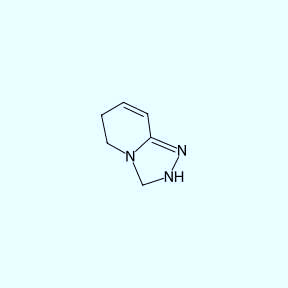 C1=CC2=NNCN2CC1